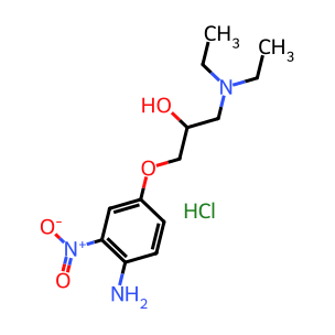 CCN(CC)CC(O)COc1ccc(N)c([N+](=O)[O-])c1.Cl